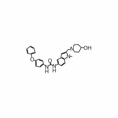 Cn1c(CN2CCC(O)CC2)cc2cc(NC(=O)Nc3ccc(Oc4ccccc4)cc3)ccc21